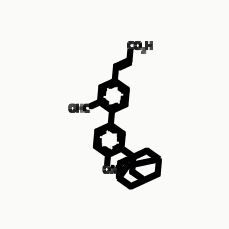 COc1ccc(-c2ccc(C=CC(=O)O)cc2C=O)cc1C12CC3CC(CC(C3)C1)C2